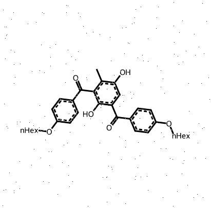 CCCCCCOc1ccc(C(=O)c2cc(O)c(C)c(C(=O)c3ccc(OCCCCCC)cc3)c2O)cc1